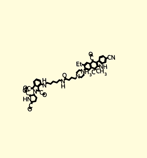 CCc1cc2c(cc1N1CCN(CCCC(=O)NCCCCCNc3cccc4c(=C=O)n(C5CCC(=C=O)NC5=C=O)c(=C=O)c34)CC1)C(C)(C)c1[nH]c3cc(C#N)ccc3c1C2=C=O